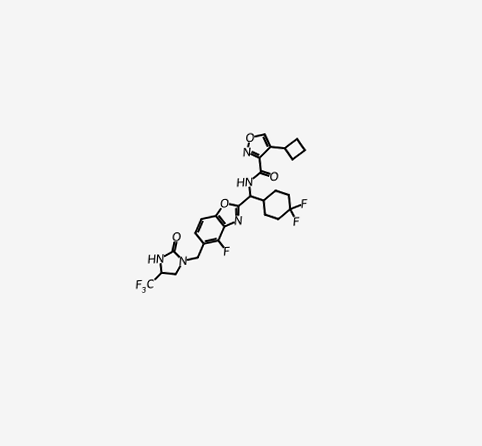 O=C(NC(c1nc2c(F)c(CN3CC(C(F)(F)F)NC3=O)ccc2o1)C1CCC(F)(F)CC1)c1nocc1C1CCC1